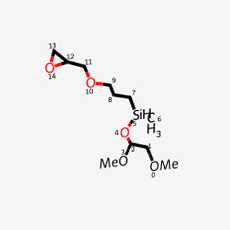 COCC(OC)O[SiH](C)CCCOCC1CO1